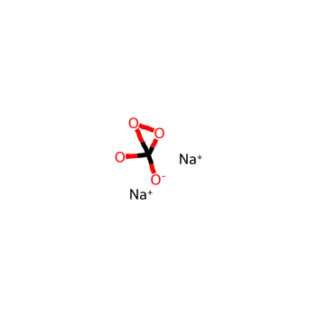 [Na+].[Na+].[O-]C1([O-])OO1